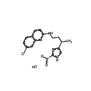 CC(CCNc1ccc2ccc(Cl)cc2n1)c1c[nH]c([N+](=O)[O-])n1.Cl